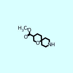 COC(=O)C1CCC2(CCNCC2)OC1